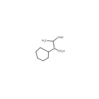 CC(C=O)N(C(=O)O)C1CCCCC1